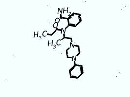 CCC(=O)N(c1ccccc1C(N)=O)C(C)CN1CCN(c2ccccc2)CC1